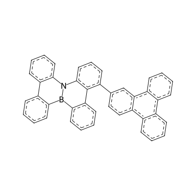 c1ccc2c(c1)B1c3ccccc3-c3c(-c4ccc5c6ccccc6c6ccccc6c5c4)cccc3N1c1ccccc1-2